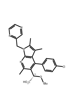 Cc1nc2c(c(C)c(C)n2Cc2cnccn2)c(-c2ccc(Cl)cc2)c1[C@H](OC(C)(C)C)C(=O)O